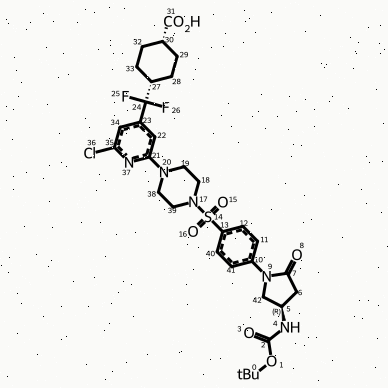 CC(C)(C)OC(=O)N[C@@H]1CC(=O)N(c2ccc(S(=O)(=O)N3CCN(c4cc(C(F)(F)[C@H]5CC[C@@H](C(=O)O)CC5)cc(Cl)n4)CC3)cc2)C1